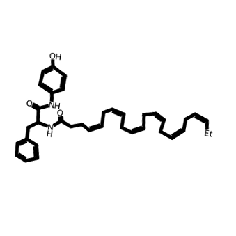 CC/C=C\C/C=C\C/C=C\C/C=C\C/C=C\C/C=C\CCC(=O)NC(Cc1ccccc1)C(=O)Nc1ccc(O)cc1